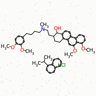 CC(C)c1cccc2ccccc12.COc1ccc(CCCCN(C)CCC2CCc3c(ccc4c3cc(OC)c3c(OC)cccc34)C2O)cc1OC.Cl